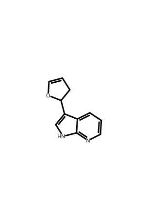 C1=COC(c2c[nH]c3ncccc23)C1